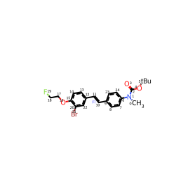 CN(C(=O)OC(C)(C)C)c1ccc(/C=C/c2ccc(OCCF)c(Br)c2)cc1